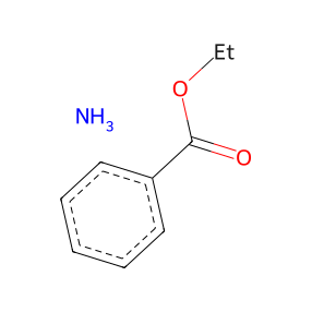 CCOC(=O)c1ccccc1.N